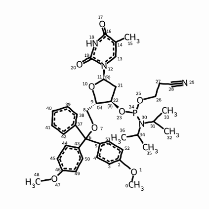 COc1ccc(C(OC[C@@H]2O[C@@H](n3cc(C)c(=O)[nH]c3=O)C[C@H]2OP(OCCC#N)N(C(C)C)C(C)C)(c2ccccc2)c2ccc(OC)cc2)cc1